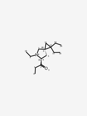 CCC(=O)[C@@H]1C[C@]2(CN1CC)CC2(CC)CC